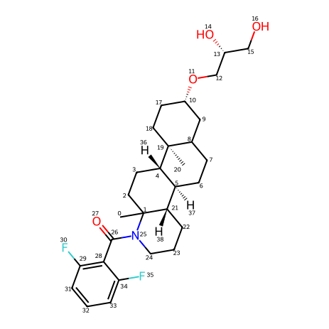 CC12CC[C@H]3[C@@H](CCC4C[C@@H](OC[C@H](O)CO)CC[C@@]43C)[C@@H]1CCCN2C(=O)c1c(F)cccc1F